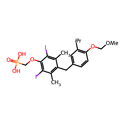 COCOc1ccc(Cc2c(C)c(I)c(OCP(=O)(O)O)c(I)c2C)cc1C(C)C